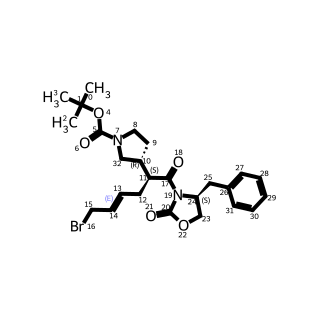 CC(C)(C)OC(=O)N1CC[C@H]([C@H](C/C=C/CBr)C(=O)N2C(=O)OC[C@@H]2Cc2ccccc2)C1